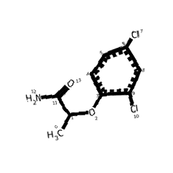 CC(Oc1ccc(Cl)cc1Cl)C(N)=O